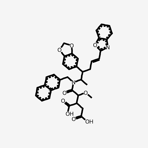 COC(C(=O)N(Cc1ccc2ccccc2c1)C(C)C(C/C=C/c1nc2ccccc2o1)c1ccc2c(c1)OCO2)C(CC(=O)O)C(=O)O